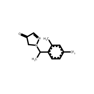 Cc1cc(C(F)(F)F)ccc1C(C)N1CC(=O)C=N1